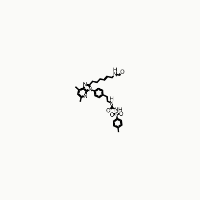 Cc1ccc(S(=O)(=O)NC(=O)NCCc2ccc(-n3c(CCCC=CCNC=O)nc4c(C)cc(C)nc43)cc2)cc1